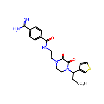 N=C(N)c1ccc(C(=O)NCCN2CCN(C(CC(=O)O)c3ccsc3)C(=O)C2=O)cc1